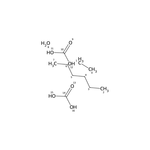 CC.CCCCCC.O.O=C(O)O.O=C(O)O